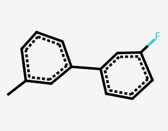 Cc1cccc(-c2cccc(F)c2)c1